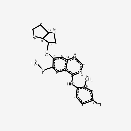 COc1cc2c(Nc3ccc(Cl)cc3C)ncnc2cc1OC1COC2CCOC21